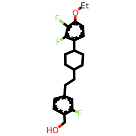 CCOc1ccc(C2CCC(CCc3ccc(CO)c(F)c3)CC2)c(F)c1F